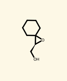 OC[C@@H]1OC12CCCCC2